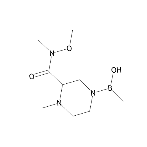 CON(C)C(=O)C1CN(B(C)O)CCN1C